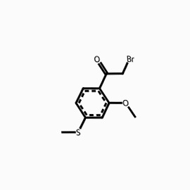 COc1cc(SC)ccc1C(=O)CBr